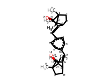 CC12CCC(C(=Cc3ccc(C=C4C(=O)C5(C)CCC4C5(C)C)cc3)C1=O)C2(C)C